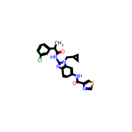 CC(C(=O)Nc1nc2ccc(NC(=O)c3cscn3)cc2n1CC1CC1)c1cccc(Cl)c1